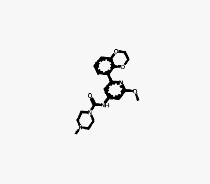 COc1cc(NC(=O)N2CCN(C)CC2)cc(-c2cccc3c2OCCO3)n1